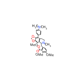 COc1ccc2c(c1OC)C(=O)O[C@@H]2[C@H]1c2c(c(-c3ccc(N(C)C)cc3)c3c(c2OC)OCO3)CCN1C